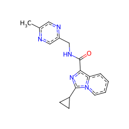 Cc1cnc(CNC(=O)c2nc(C3CC3)n3ccccc23)cn1